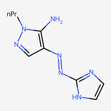 CCCn1ncc(N=Nc2ncc[nH]2)c1N